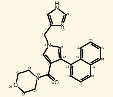 O=C(c1cn(Cc2c[nH]cn2)cc1-c1cccc2ccccc12)N1CCOCC1